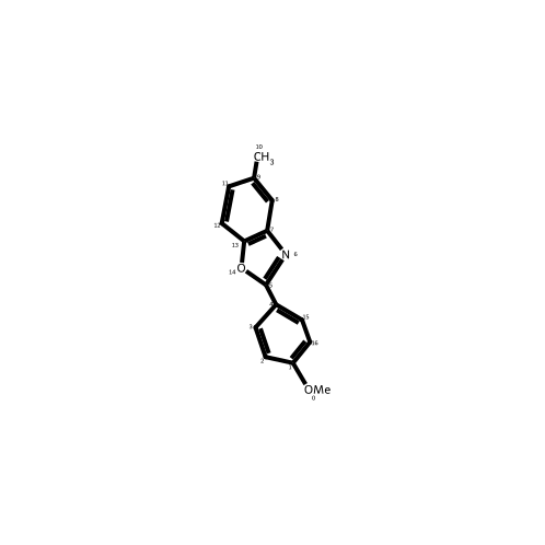 COc1ccc(-c2nc3cc(C)ccc3o2)cc1